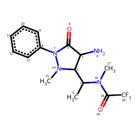 CC(C1C(N)C(=O)N(c2ccccc2)N1C)N(C)C(=O)C(F)(F)F